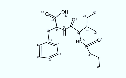 CCCC(=O)NC(C(=O)NC(Cc1ccccc1)C(=O)O)C(C)CC